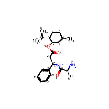 CC(C)[C@@H]1CC[C@@H](C)C[C@H]1OC(=O)C[C@@H](NC(=O)[C@H](C)N)c1ccccc1